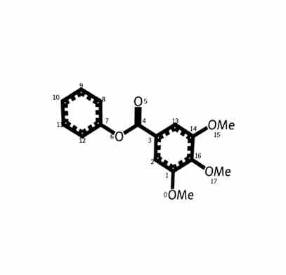 COc1cc(C(=O)Oc2ccccc2)cc(OC)c1OC